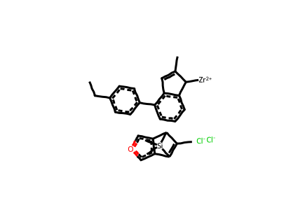 CC1=C2c3cocc3C1[Si]2(C)C.CCc1ccc(-c2cccc3c2C=C(C)[CH]3[Zr+2])cc1.[Cl-].[Cl-]